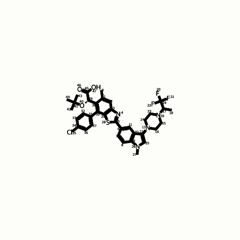 Cc1cc2nc(-c3ccc4c(c3)c(N3CCN(C(C)C(F)(F)F)CC3)cn4C)sc2c(-c2ccc(Cl)cc2)c1[C@H](OC(C)(C)C)C(=O)O